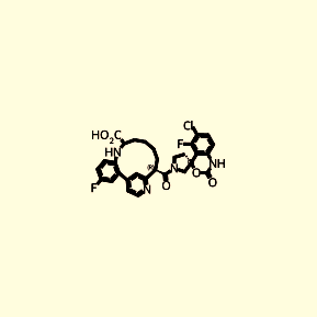 O=C1Nc2ccc(Cl)c(F)c2[C@@]2(CCN(C(=O)[C@@H]3CCCCC(C(=O)O)Nc4ccc(F)cc4-c4ccnc3c4)C2)O1